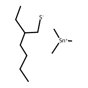 CCCCC(CC)C[S-].[CH3][Sn+]([CH3])[CH3]